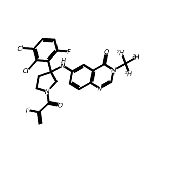 [2H]C([2H])([2H])n1cnc2ccc(NC3(c4c(F)ccc(Cl)c4Cl)CCN(C(=O)C(=C)F)C3)cc2c1=O